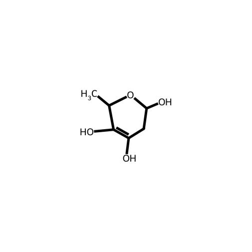 CC1OC(O)CC(O)=C1O